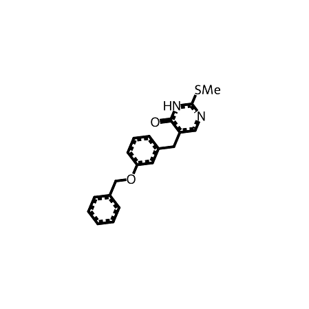 CSc1ncc(Cc2cccc(OCc3ccccc3)c2)c(=O)[nH]1